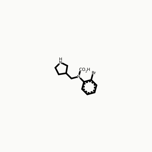 O=C(O)N(CC1CCNC1)c1ccccc1Br